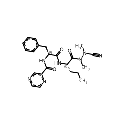 CCC[C@H](NC(=O)[C@H](Cc1ccccc1)NC(=O)c1cnccn1)C(=O)N(C)N(C)C#N